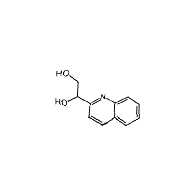 OCC(O)c1ccc2ccccc2n1